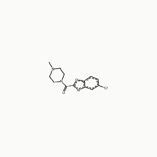 CN1CCN(C(=O)c2nc3cc(Cl)ccc3o2)CC1